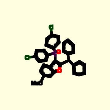 COc1ccc2c(P(=O)(c3ccc(Cl)cc3)c3ccc(Cl)cc3)c(C(c3ccccc3)c3ccccc3)oc2c1